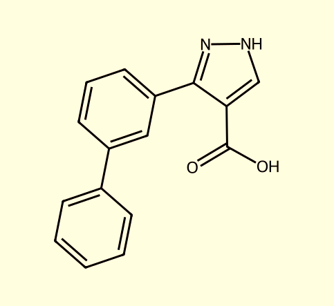 O=C(O)c1c[nH]nc1-c1cccc(-c2ccccc2)c1